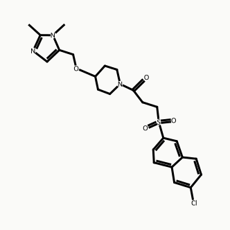 Cc1ncc(COC2CCN(C(=O)CCS(=O)(=O)c3ccc4cc(Cl)ccc4c3)CC2)n1C